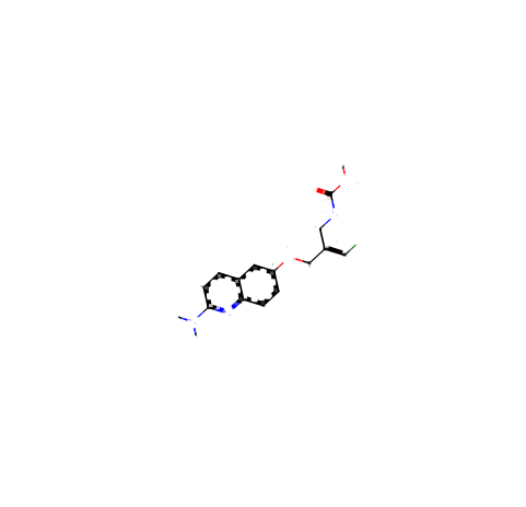 CN(C)c1ccc2cc(OC/C(=C/F)CNC(=O)OC(C)(C)C)ccc2n1